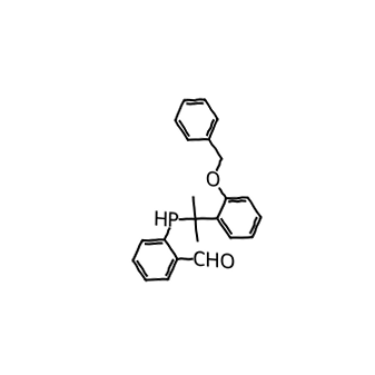 CC(C)(Pc1ccccc1C=O)c1ccccc1OCc1ccccc1